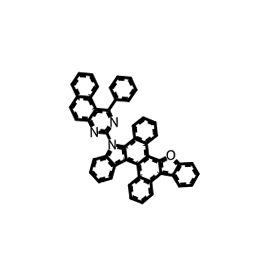 c1ccc(-c2nc(-n3c4ccccc4c4c5c6ccccc6c6c7ccccc7oc6c5c5ccccc5c43)nc3ccc4ccccc4c23)cc1